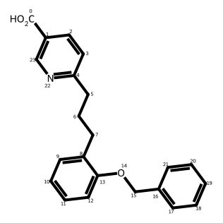 O=C(O)c1ccc(CCCc2ccccc2OCc2ccccc2)nc1